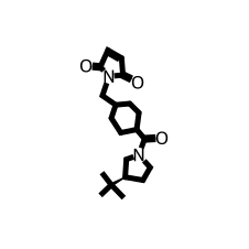 CC(C)(C)[C@@H]1CCN(C(=O)C2CCC(CN3C(=O)C=CC3=O)CC2)C1